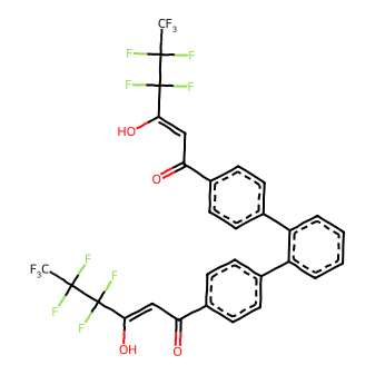 O=C(/C=C(\O)C(F)(F)C(F)(F)C(F)(F)F)c1ccc(-c2ccccc2-c2ccc(C(=O)/C=C(\O)C(F)(F)C(F)(F)C(F)(F)F)cc2)cc1